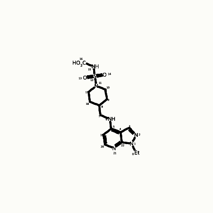 CCn1ncc2c(NCC3CCN(S(=O)(=O)NC(=O)O)CC3)ccnc21